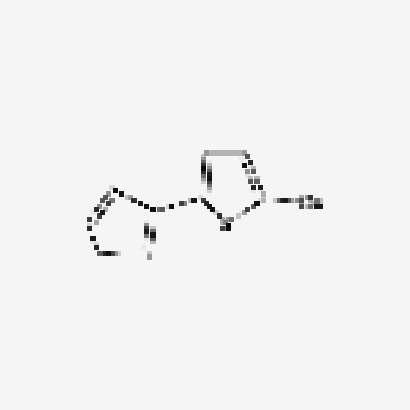 CC(C)(C)c1ccc(C2=CCC=C2)s1